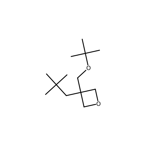 CC(C)(C)CC1(COC(C)(C)C)COC1